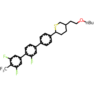 CCCCOCCC1CCC(c2ccc(-c3ccc(-c4cc(F)c(C(F)(F)F)c(F)c4)c(F)c3)cc2)SC1